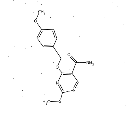 COc1ccc(COc2nc(SC)ncc2C(N)=O)cc1